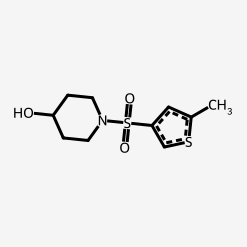 Cc1cc(S(=O)(=O)N2CCC(O)CC2)cs1